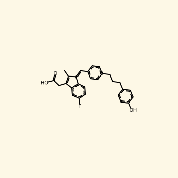 CC1=C(CC(=O)O)c2cc(F)ccc2/C1=C\c1ccc(CCCc2ccc(O)cc2)cc1